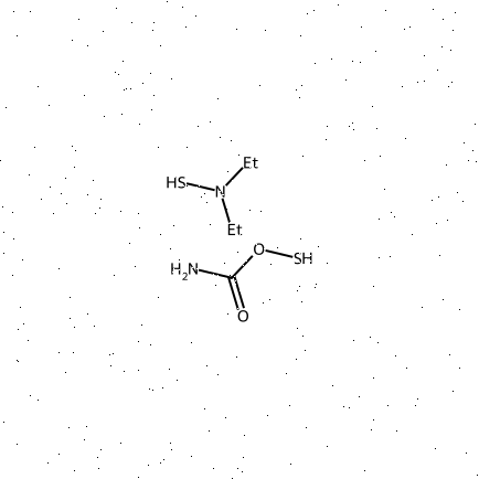 CCN(S)CC.NC(=O)OS